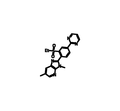 CCS(=O)(=O)c1cc(-c2ncccn2)ccc1-c1nc2cc(C)cnc2n1C